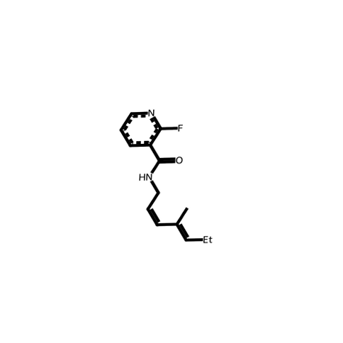 CC/C=C(C)/C=C\CNC(=O)c1cccnc1F